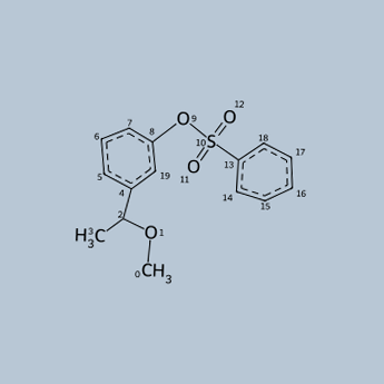 COC(C)c1cccc(OS(=O)(=O)c2ccccc2)c1